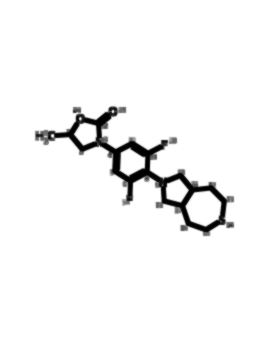 CC1CN(c2cc(F)c(N3CC4CCSCCC4C3)c(F)c2)C(=O)O1